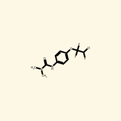 CN(C)C(=O)Nc1ccc(OC(F)(F)C(F)Cl)cc1